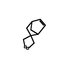 ClCC1(CCl)CC2C=CC1C2